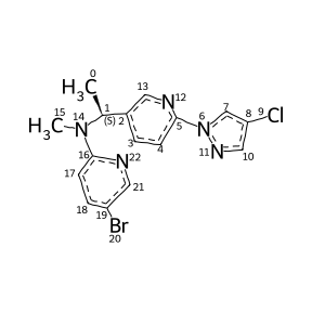 C[C@@H](c1ccc(-n2cc(Cl)cn2)nc1)N(C)c1ccc(Br)cn1